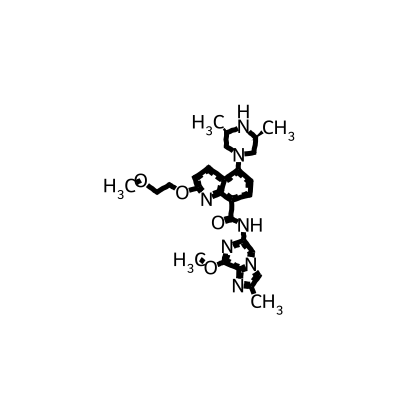 COCCOc1ccc2c(N3C[C@H](C)N[C@@H](C)C3)ccc(C(=O)Nc3cn4cc(C)nc4c(OC)n3)c2n1